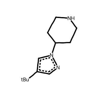 CC(C)(C)c1cnn(C2CCNCC2)c1